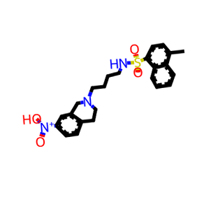 Cc1ccc(S(=O)(=O)NCCCCN2CCc3ccc([N+](=O)O)cc3C2)c2ccccc12